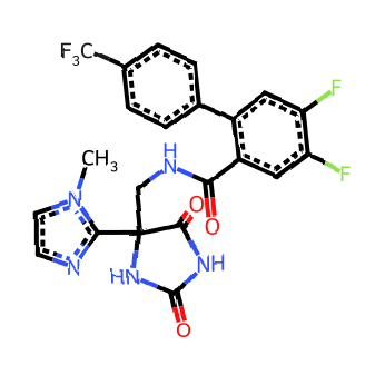 Cn1ccnc1C1(CNC(=O)c2cc(F)c(F)cc2-c2ccc(C(F)(F)F)cc2)NC(=O)NC1=O